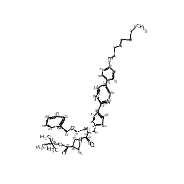 CCCCCCCOc1ccc(-c2cnc(-c3ccc(C[C@H](NCOCc4ccccc4)C(=O)N4CC(C(=O)OC(C)(C)C)C4)cc3)nc2)cc1